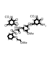 COCCOc1ccccc1S(=O)(=O)NC(=O)Nc1nc(OC)nc(OC)n1.Nc1cc(Cl)cc(C(=O)O)c1Cl.Nc1cc(Cl)cc(C(=O)O)c1Cl